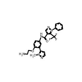 Cn1nccc1-c1cc(NC(=O)c2cnn(-c3ccccc3)c2C(F)(F)F)ccc1OCCN